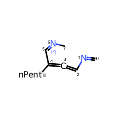 C=NC=C=C(/C=N\C)CCCCC